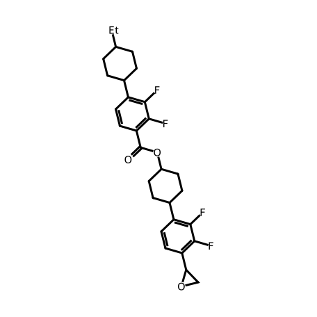 CCC1CCC(c2ccc(C(=O)OC3CCC(c4ccc(C5CO5)c(F)c4F)CC3)c(F)c2F)CC1